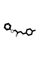 CC1CCC(CCC(F)COc2ccccc2)CC1